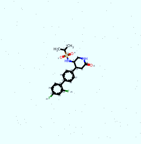 CC(C)S(=O)(=O)NC1CNC(=O)CC1c1ccc(-c2ccc(F)cc2F)cc1